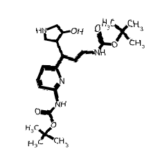 CC(C)(C)OC(=O)NCCC(c1cccc(NC(=O)OC(C)(C)C)n1)C1CNCC1O